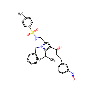 Cc1ccc(S(=O)(=O)NCc2cc(C(=O)CCc3cccc(N=O)c3)c(C(C)C)n2Cc2ccccc2)cc1